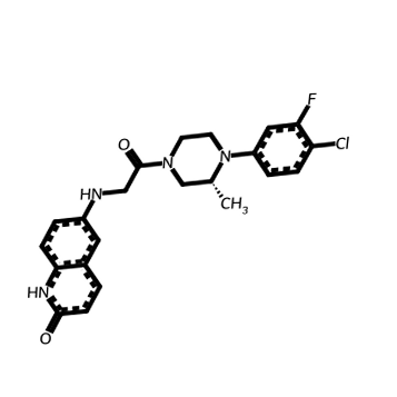 C[C@@H]1CN(C(=O)CNc2ccc3[nH]c(=O)ccc3c2)CCN1c1ccc(Cl)c(F)c1